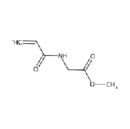 [CH]=CC(=O)NCC(=O)OC